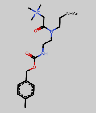 CC(=O)NCCN(CCNC(=O)OCc1ccc(C)cc1)C(=O)C[N+](C)(C)C